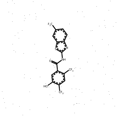 O=C(Nc1nc2ccc(C(F)(F)F)cc2s1)c1cc(O)c(C(F)(F)F)cc1C(F)(F)F